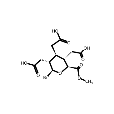 COC(=O)[C@H]1O[C@@H](Br)[C@H](CC(=O)O)[C@@H](CC(=O)O)[C@@H]1CC(=O)O